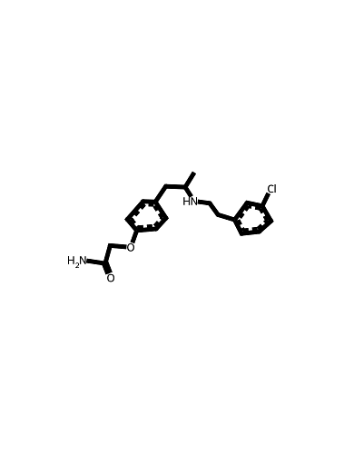 CC(Cc1ccc(OCC(N)=O)cc1)NCCc1cccc(Cl)c1